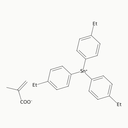 C=C(C)C(=O)[O-].CCc1cc[c]([Sn+]([c]2ccc(CC)cc2)[c]2ccc(CC)cc2)cc1